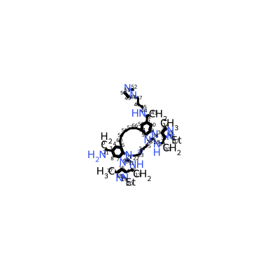 C=C(N)c1cc2c3c(c1)nc(NC(=C)c1cc(C)nn1CC)n3C/C=C/Cn1c(NC(=C)c3cc(C)nn3CC)nc3cc(C(=C)NCCCn4ccnc4)cc(c31)CCCCC2